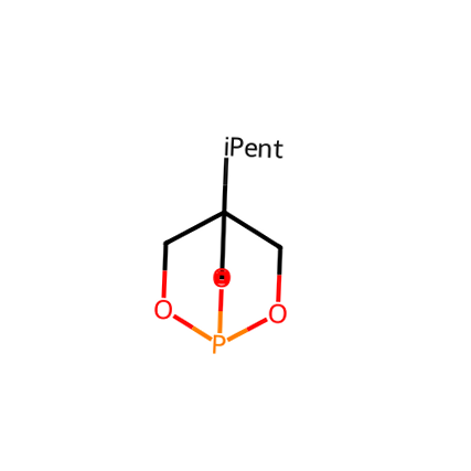 CCCC(C)C12COP(OC1)OC2